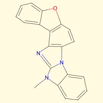 Cn1c2ccccc2n2c3ccc4oc5ccccc5c4c3nc12